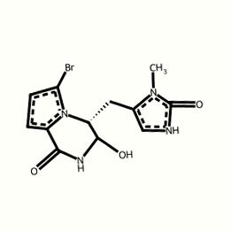 Cn1c(C[C@@H]2C(O)NC(=O)c3ccc(Br)n32)c[nH]c1=O